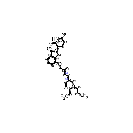 C=C/C(=C\C=C(/C)COc1cccc2c1CN(C1CCC(=O)NC1=O)C2=O)CN(CCC(F)(F)F)CCC(F)(F)F